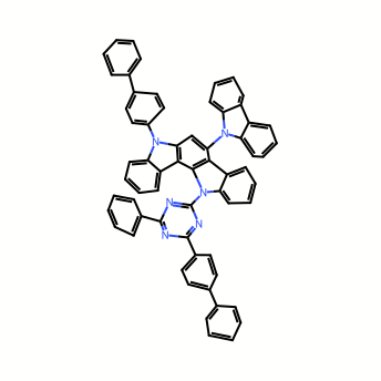 c1ccc(-c2ccc(-c3nc(-c4ccccc4)nc(-n4c5ccccc5c5c(-n6c7ccccc7c7ccccc76)cc6c(c7ccccc7n6-c6ccc(-c7ccccc7)cc6)c54)n3)cc2)cc1